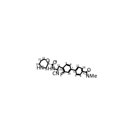 CNC(=O)c1ccc(-c2ccc(C[C@@H](C#N)NC(=O)[C@@H]3CNCCCO3)c(F)c2)cc1